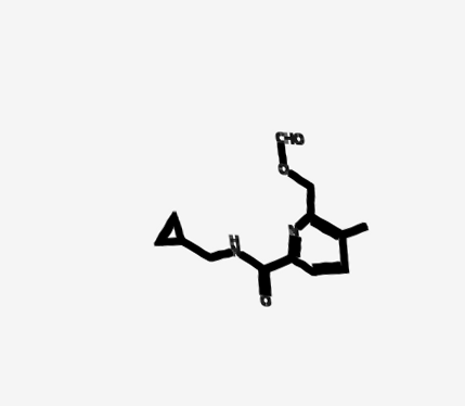 Cc1ccc(C(=O)NCC2CC2)nc1COC=O